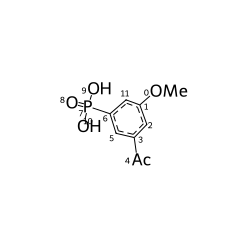 COc1cc(C(C)=O)cc(P(=O)(O)O)c1